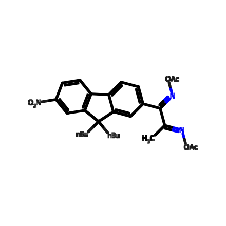 CCCCC1(CCCC)c2cc(C(=N\OC(C)=O)/C(C)=N/OC(C)=O)ccc2-c2ccc([N+](=O)[O-])cc21